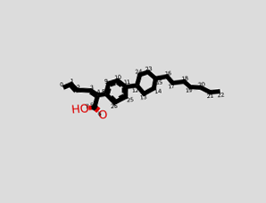 CC=CC=C(C(=O)O)c1ccc(C2CCC(CCCCCCC)CC2)cc1